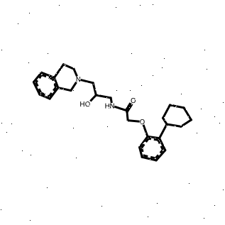 O=C(COc1ccccc1C1CCCCC1)NCC(O)CN1CCc2ccccc2C1